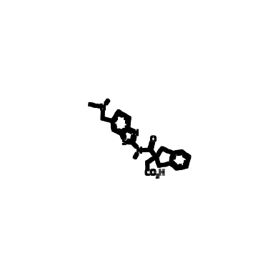 CN(C)Cc1ccc2nc(N(C)C(=O)C3(CC(=O)O)Cc4ccccc4C3)sc2c1